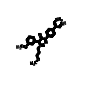 COCCCNC(C(=O)Nc1ccc(/C(C=N)=C/N)cc1)c1cccc(OC)c1